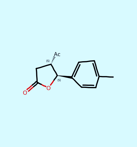 CC(=O)[C@H]1CC(=O)O[C@@H]1c1ccc(C)cc1